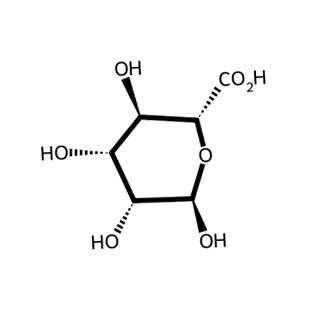 O=C(O)[C@@H]1O[C@@H](O)[C@H](O)[C@H](O)[C@H]1O